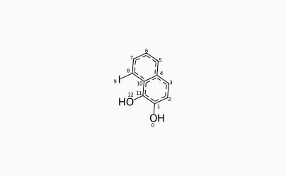 Oc1ccc2cccc(I)c2c1O